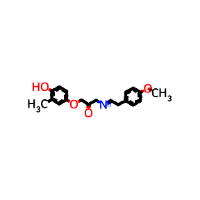 COc1ccc(C/C=N/CC(=O)COc2ccc(O)c(C)c2)cc1